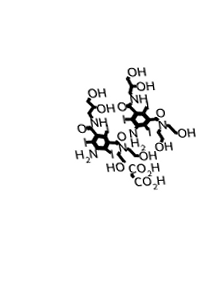 Nc1c(I)c(C(=O)NCC(O)CO)c(I)c(C(=O)N(CCO)CCO)c1I.Nc1c(I)c(C(=O)NCC(O)CO)c(I)c(C(=O)N(CCO)CCO)c1I.O=C(O)CC(=O)O